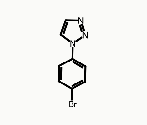 Brc1ccc(-n2ccnn2)cc1